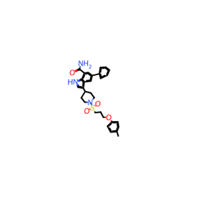 Cc1ccc(OCCCS(=O)(=O)N2CCC(c3c[nH]c4c(C(N)=O)cc(-c5ccccc5)cc34)CC2)cc1